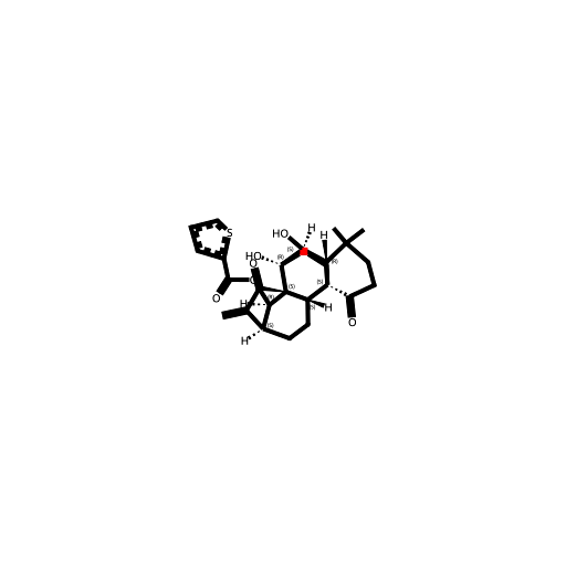 C=C1C(=O)[C@]23[C@H](OC(=O)c4cccs4)[C@H]1CC[C@H]2[C@@]12CO[C@@]3(O)[C@@H](O)[C@@H]1C(C)(C)CCC2=O